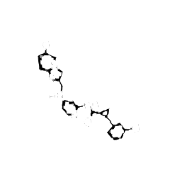 O=C(Nc1cc(NCc2cn3cc(Cl)ccc3n2)ccn1)C1CC1c1cccc(Cl)c1